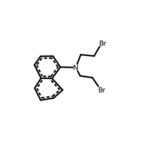 BrCCN(CCBr)c1cccc2ccccc12